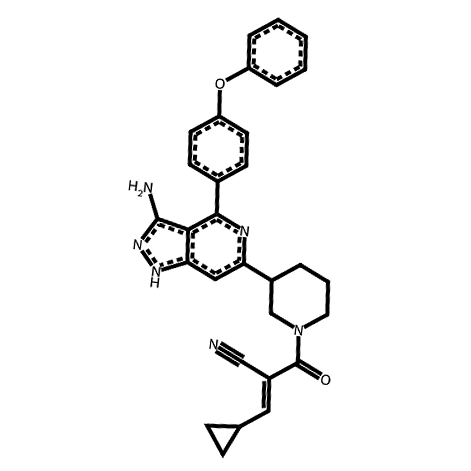 N#CC(=CC1CC1)C(=O)N1CCCC(c2cc3[nH]nc(N)c3c(-c3ccc(Oc4ccccc4)cc3)n2)C1